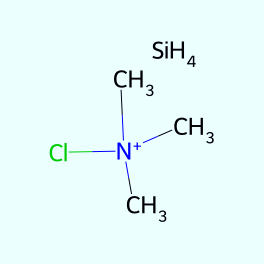 C[N+](C)(C)Cl.[SiH4]